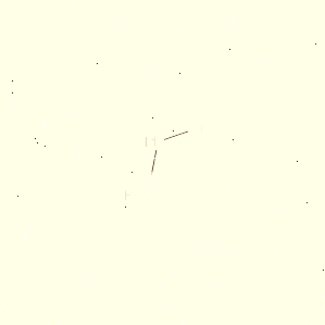 [Cl][Pb][Cl].[F]